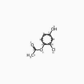 CC(=O)Oc1ccc(O)cc1Cl